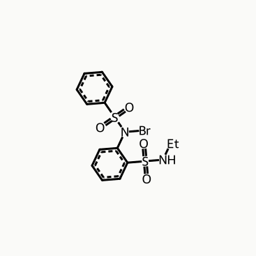 CCNS(=O)(=O)c1ccccc1N(Br)S(=O)(=O)c1ccccc1